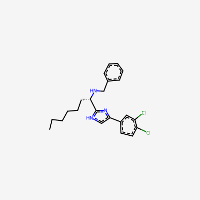 CCCCCC[C@H](NCc1ccccc1)c1nc(-c2ccc(Cl)c(Cl)c2)c[nH]1